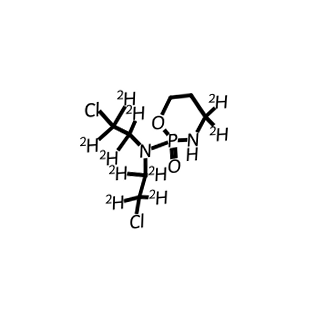 [2H]C1([2H])CCOP(=O)(N(C([2H])([2H])C([2H])([2H])Cl)C([2H])([2H])C([2H])([2H])Cl)N1